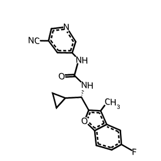 Cc1c([C@@H](NC(=O)Nc2cncc(C#N)c2)C2CC2)oc2ccc(F)cc12